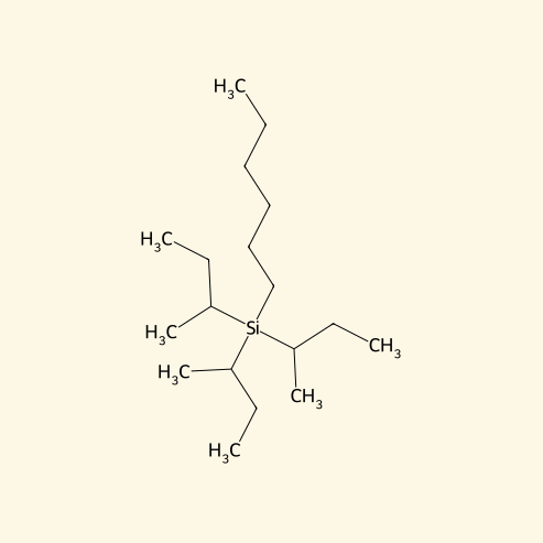 CCCCCC[Si](C(C)CC)(C(C)CC)C(C)CC